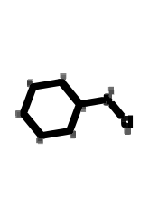 ClSC1CCCCC1